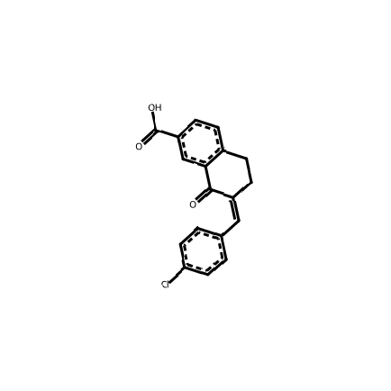 O=C(O)c1ccc2c(c1)C(=O)C(=Cc1ccc(Cl)cc1)CC2